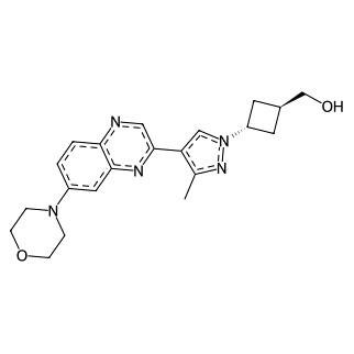 Cc1nn([C@H]2C[C@H](CO)C2)cc1-c1cnc2ccc(N3CCOCC3)cc2n1